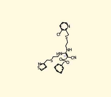 N#C/C(=C(/NCCSCc1ccsn1)NCCSCc1ncccc1Cl)S(=O)(=O)c1ccccc1